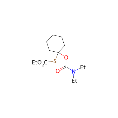 CCOC(=O)SC1(OC(=O)N(CC)CC)CCCCC1